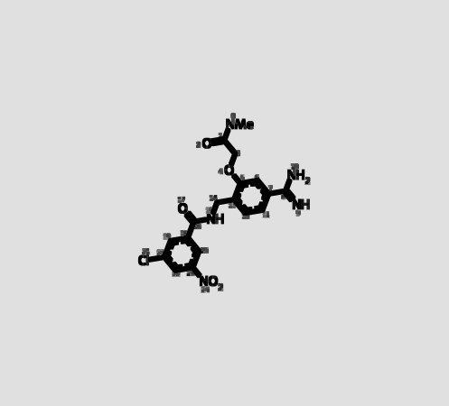 CNC(=O)COc1cc(C(=N)N)ccc1CNC(=O)c1cc(Cl)cc([N+](=O)[O-])c1